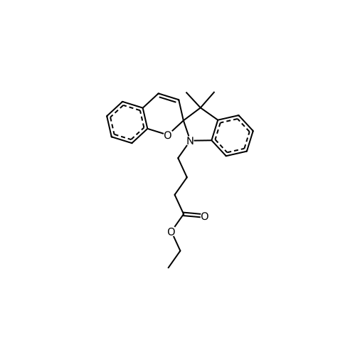 CCOC(=O)CCCN1c2ccccc2C(C)(C)C12C=Cc1ccccc1O2